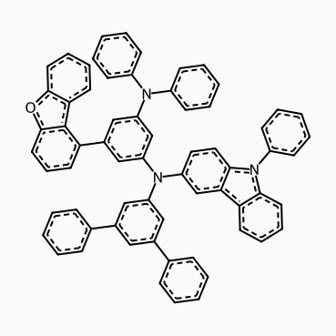 c1ccc(-c2cc(-c3ccccc3)cc(N(c3cc(-c4cccc5oc6ccccc6c45)cc(N(c4ccccc4)c4ccccc4)c3)c3ccc4c(c3)c3ccccc3n4-c3ccccc3)c2)cc1